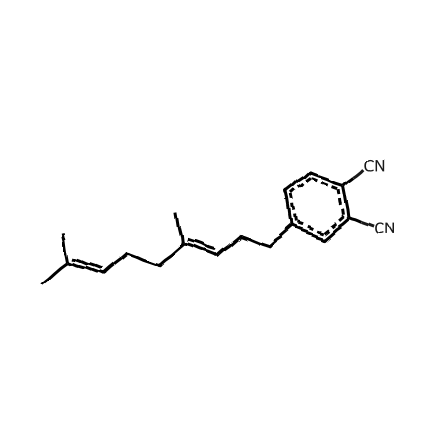 CC(C)=CCC/C(C)=C/CCc1ccc(C#N)c(C#N)c1